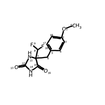 COc1ccc(CC2(C(F)F)NC(=O)NC2=O)cc1